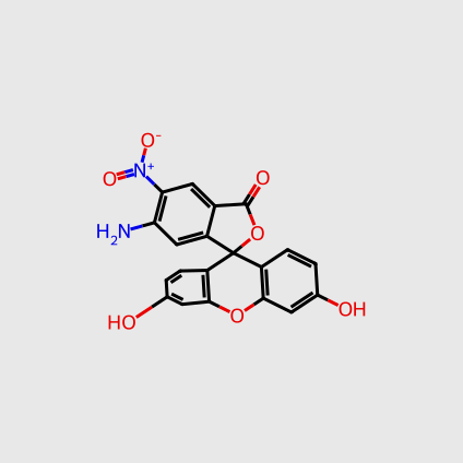 Nc1cc2c(cc1[N+](=O)[O-])C(=O)OC21c2ccc(O)cc2Oc2cc(O)ccc21